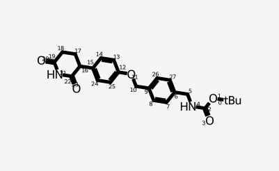 CC(C)(C)OC(=O)NCc1ccc(COc2ccc(C3CCC(=O)NC3=O)cc2)cc1